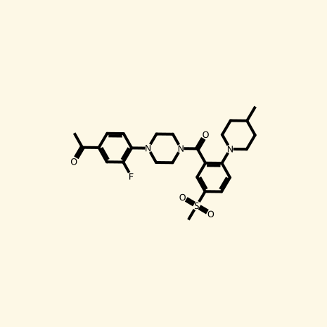 CC(=O)c1ccc(N2CCN(C(=O)c3cc(S(C)(=O)=O)ccc3N3CCC(C)CC3)CC2)c(F)c1